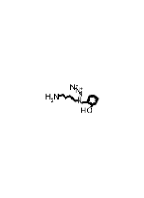 [N-]=[N+]=NN(CCCCN)Cc1ccccc1O